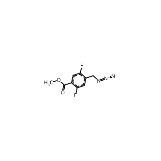 COC(=O)c1cc(F)c(CN=[N+]=[N-])cc1F